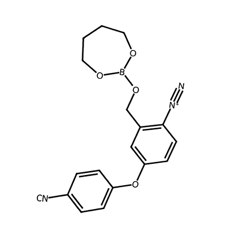 [C-]#[N+]c1ccc(Oc2ccc([N+]#N)c(COB3OCCCCO3)c2)cc1